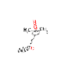 COC(=O)CC/C=C/c1cc(C)c(O)c(C)c1